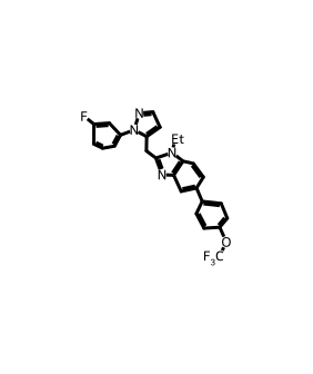 CCn1c(Cc2ccnn2-c2cccc(F)c2)nc2cc(-c3ccc(OC(F)(F)F)cc3)ccc21